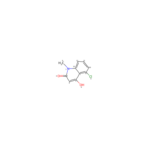 Cn1c(=O)cc(O)c2c(Cl)cccc21